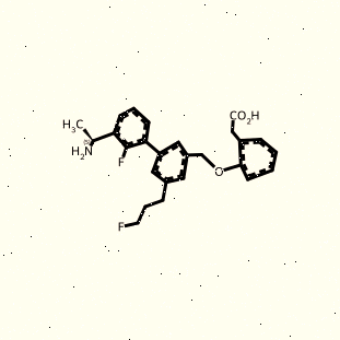 C[C@H](N)c1cccc(-c2cc(CCCF)cc(COc3ccccc3CC(=O)O)c2)c1F